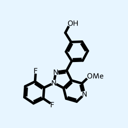 COc1nccc2c1c(-c1cccc(CO)c1)nn2-c1c(F)cccc1F